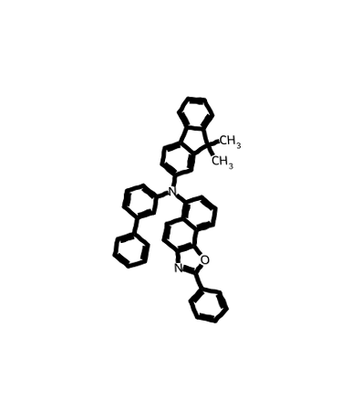 CC1(C)c2ccccc2-c2ccc(N(c3cccc(-c4ccccc4)c3)c3cccc4c3ccc3nc(-c5ccccc5)oc34)cc21